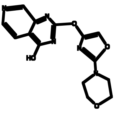 Oc1nc(Oc2coc(N3CCOCC3)n2)nc2cnccc12